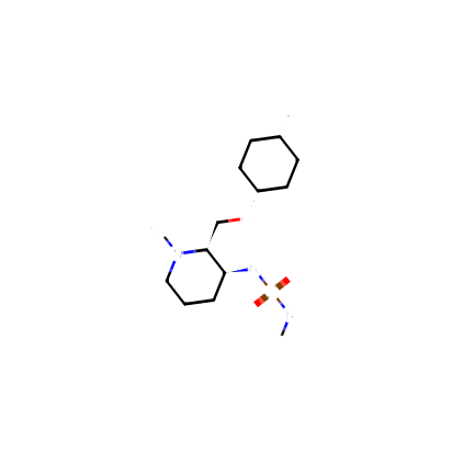 CCNS(=O)(=O)N[C@H]1CCCN(C(C)=O)[C@H]1CO[C@H]1CC[C@@H](C(C)C)CC1